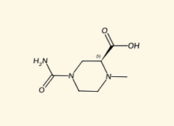 CN1CCN(C(N)=O)C[C@H]1C(=O)O